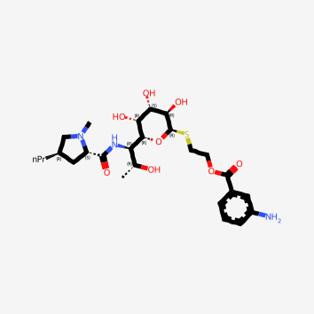 CCC[C@@H]1C[C@@H](C(=O)N[C@@H]([C@H]2O[C@H](SCCOC(=O)c3cccc(N)c3)[C@H](O)[C@@H](O)[C@H]2O)[C@@H](C)O)N(C)C1